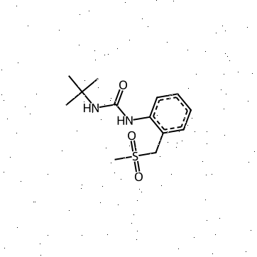 CC(C)(C)NC(=O)Nc1ccccc1CS(C)(=O)=O